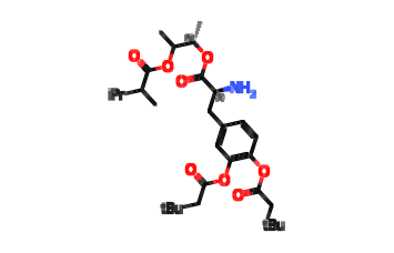 CC(C)C(C)C(=O)OC(C)[C@H](C)OC(=O)[C@@H](N)Cc1ccc(OC(=O)CC(C)(C)C)c(OC(=O)CC(C)(C)C)c1